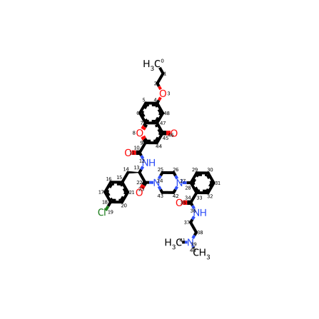 CCCOc1ccc2oc(C(=O)N[C@H](Cc3ccc(Cl)cc3)C(=O)N3CCN(c4ccccc4C(=O)NCCN(C)C)CC3)cc(=O)c2c1